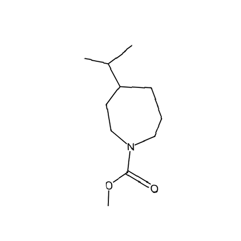 COC(=O)N1CCCC(C(C)C)CC1